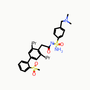 CC(C)c1cc(-c2ccccc2S(C)(=O)=O)cc(C(C)C)c1CC(=O)N=S(N)(=O)c1ccc(CN(C)C)cc1